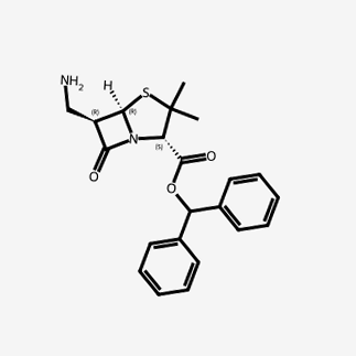 CC1(C)S[C@@H]2[C@H](CN)C(=O)N2[C@H]1C(=O)OC(c1ccccc1)c1ccccc1